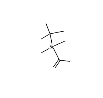 C=C(C)[Si](C)(C)C(C)(C)C